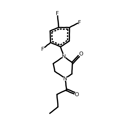 CCCC(=O)N1CCN(c2cc(F)c(F)cc2F)C(=O)C1